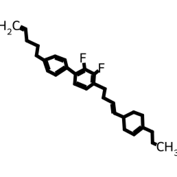 C=CCCCc1ccc(-c2ccc(CC/C=C/C3CC=C(CCC)CC3)c(F)c2F)cc1